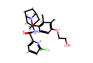 Cc1c(OCCO)ccc(C(C)N2C3CCC2CC(NC(=O)c2cccc(Cl)n2)C3)c1C